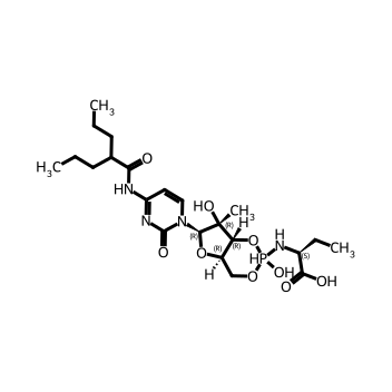 CCCC(CCC)C(=O)Nc1ccn([C@@H]2O[C@@H]3CO[PH](O)(N[C@@H](CC)C(=O)O)O[C@H]3[C@@]2(C)O)c(=O)n1